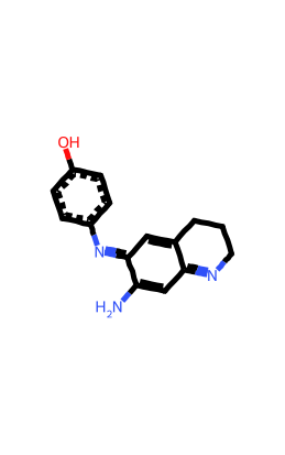 NC1=CC2=NCCCC2=CC1=Nc1ccc(O)cc1